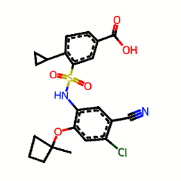 CC1(Oc2cc(Cl)c(C#N)cc2NS(=O)(=O)c2cc(C(=O)O)ccc2C2CC2)CCC1